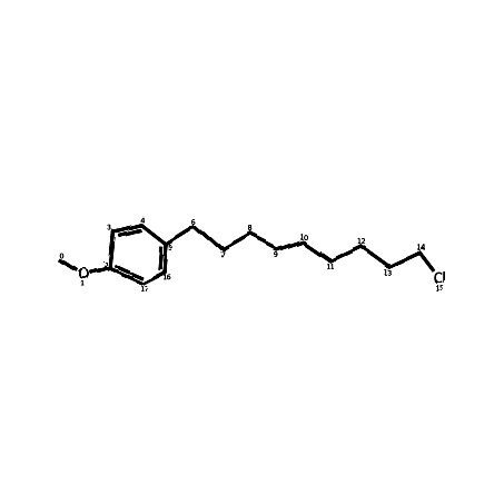 COc1ccc(CCCCCCCCCCl)cc1